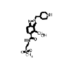 Cc1c(C(=O)NCCS(C)(=O)=O)ccc2nn(CC3CCNCC3)cc12.Cl